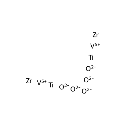 [O-2].[O-2].[O-2].[O-2].[O-2].[Ti].[Ti].[V+5].[V+5].[Zr].[Zr]